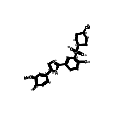 COc1cc(-c2cnc(-c3ccc(Cl)c(S(=O)(=O)N4CCC(O)CC4)c3)[nH]2)ccc1F